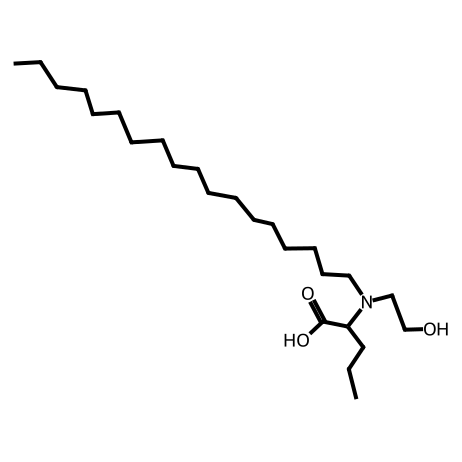 CCCCCCCCCCCCCCCCCCN(CCO)C(CCC)C(=O)O